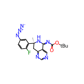 CC(C)(C)OC(=O)/N=C1/N[C@](C)(c2cc(N=[N+]=[N-])ccc2F)Cc2ncncc21